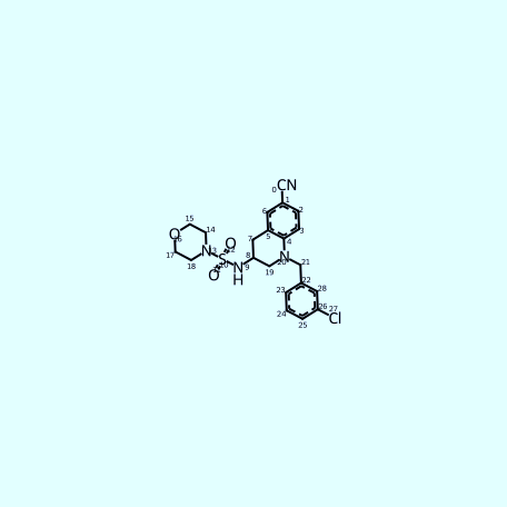 N#Cc1ccc2c(c1)CC(NS(=O)(=O)N1CCOCC1)CN2Cc1cccc(Cl)c1